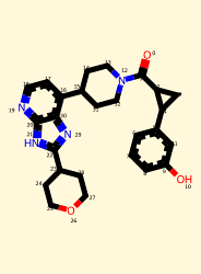 O=C(C1CC1c1cccc(O)c1)N1CCC(c2ccnc3[nH]c(C4CCOCC4)nc23)CC1